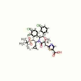 CC(C)(C)S(=O)(=O)C[C@H](C1CC1)N1C(=O)[C@](C)(Cc2ncc(C(=O)O)s2)O[C@H](c2cccc(Cl)c2)C1c1ccc(Cl)c(F)c1